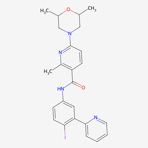 Cc1nc(N2CC(C)OC(C)C2)ccc1C(=O)Nc1ccc(I)c(-c2ccccn2)c1